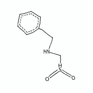 O=[SH](=O)CNCc1ccccc1